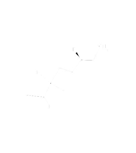 [CH2]C[C@H](F)CCC(F)(F)C(F)F